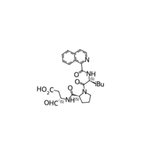 CCC(C)[C@H](NC(=O)c1nccc2ccccc12)C(=O)N1CCC[C@H]1C(=O)N[C@H](C=O)CC(=O)O